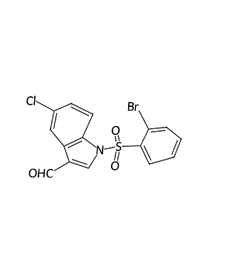 O=Cc1cn(S(=O)(=O)c2ccccc2Br)c2ccc(Cl)cc12